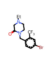 CCN1CCN(Cc2ccc(Br)cc2C(F)(F)F)C(=O)C1